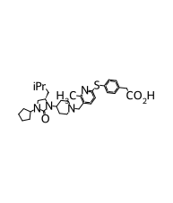 Cc1nc(Sc2ccc(CC(=O)O)cc2)ccc1CN1CCC(N2C(=O)N(C3CCCC3)C[C@H]2CC(C)C)CC1